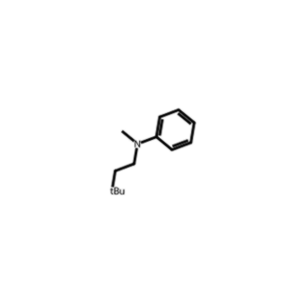 CN(CCC(C)(C)C)c1ccccc1